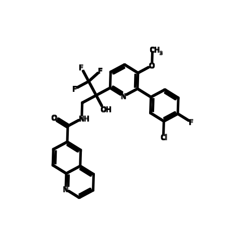 COc1ccc(C(O)(CNC(=O)c2ccc3ncccc3c2)C(F)(F)F)nc1-c1ccc(F)c(Cl)c1